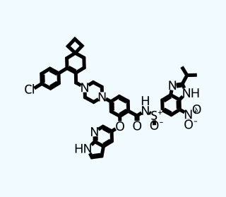 CC(C)c1nc2cc([S+]([O-])NC(=O)c3ccc(N4CCN(CC5=C(c6ccc(Cl)cc6)CC6(CCC6)CC5)CC4)cc3Oc3cnc4[nH]ccc4c3)cc([N+](=O)[O-])c2[nH]1